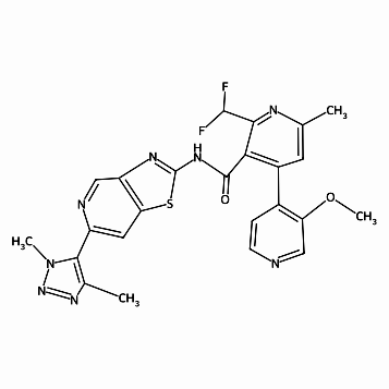 COc1cnccc1-c1cc(C)nc(C(F)F)c1C(=O)Nc1nc2cnc(-c3c(C)nnn3C)cc2s1